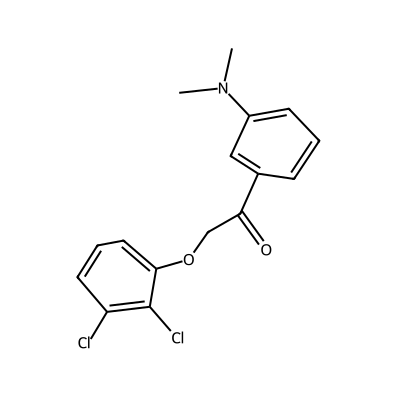 CN(C)c1cccc(C(=O)COc2cccc(Cl)c2Cl)c1